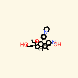 CCC(=O)[C@@]1(C#CCO)CC[C@H]2[C@@H]3CC(C)C4=CC(=NO)CCC4=C3[C@@H](c3ccc(N4CCCCC4)cc3)C[C@@]21C